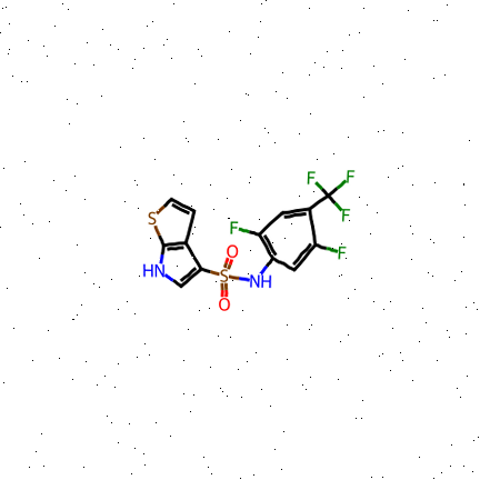 O=S(=O)(Nc1cc(F)c(C(F)(F)F)cc1F)c1c[nH]c2sccc12